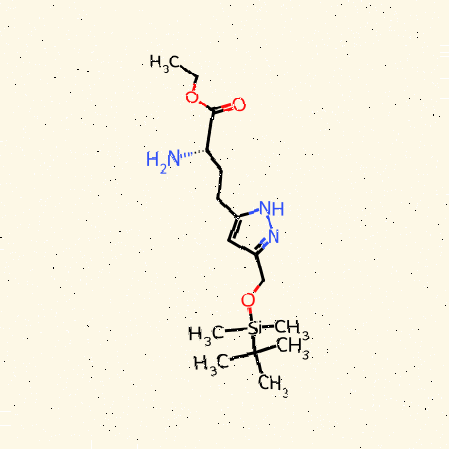 CCOC(=O)[C@@H](N)CCc1cc(CO[Si](C)(C)C(C)(C)C)n[nH]1